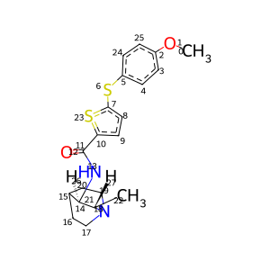 COc1ccc(Sc2ccc(C(=O)N[C@@H]3C4CCN(CC4)[C@H]3C)s2)cc1